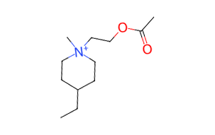 CCC1CC[N+](C)(CCOC(C)=O)CC1